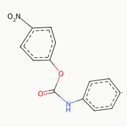 O=C(Nc1cc[c]cc1)Oc1ccc([N+](=O)[O-])cc1